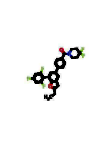 CCc1cc2cc(-c3ccc(C(=O)N4CCC(F)(F)CC4)cc3)cc(-c3c(F)cc(F)cc3F)c2o1